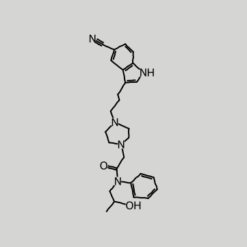 CC(O)CN(C(=O)CN1CCN(CCCc2c[nH]c3ccc(C#N)cc23)CC1)c1ccccc1